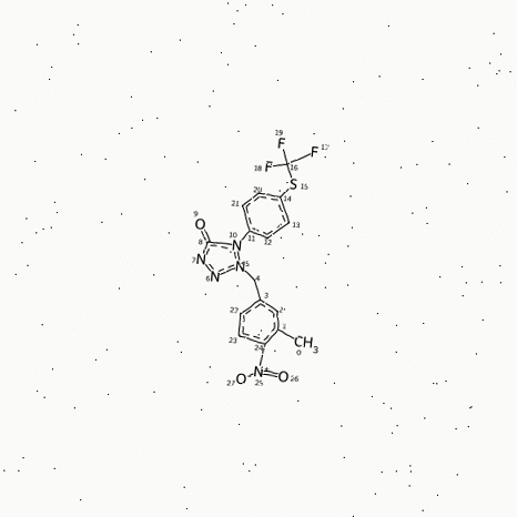 Cc1cc(Cn2nnc(=O)n2-c2ccc(SC(F)(F)F)cc2)ccc1[N+](=O)[O-]